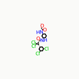 COCC(=O)Nc1cccc(NC(=O)[C@H]2[C@H](c3cc(Cl)cc(Cl)c3)C2(Cl)Cl)c1